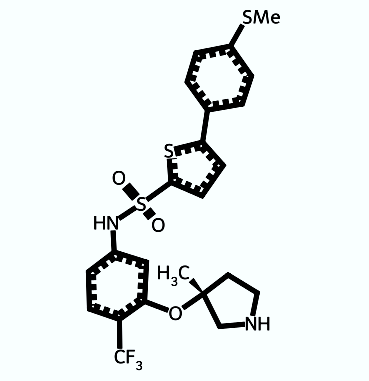 CSc1ccc(-c2ccc(S(=O)(=O)Nc3ccc(C(F)(F)F)c(O[C@]4(C)CCNC4)c3)s2)cc1